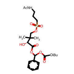 CC(=O)NCCCS(=O)(=O)OCC(C)(C)[C@@H](O)C(=O)OC(OC(=O)OCC(C)C)c1ccccc1